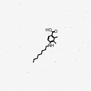 CCCCCCCCNc1ccc(C(=O)O)c(C)c1C